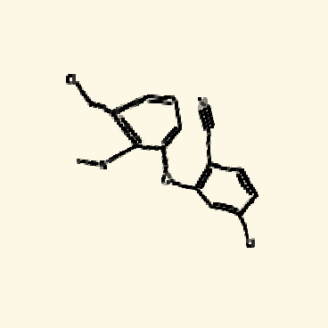 CSc1c(CCl)cccc1Oc1cc(Cl)ccc1C#N